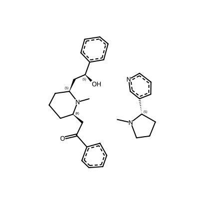 CN1CCC[C@H]1c1cccnc1.CN1[C@@H](CC(=O)c2ccccc2)CCC[C@H]1C[C@H](O)c1ccccc1